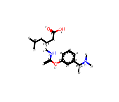 C=C(NC[C@@H](CC(=O)O)CC(C)C)Oc1cccc([C@H](C)N(C)C)c1